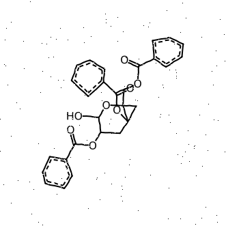 O=C(OCC12CC1(OC(=O)c1ccccc1)CC(OC(=O)c1ccccc1)C(O)O2)c1ccccc1